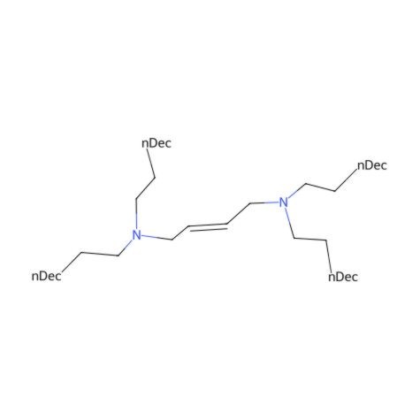 CCCCCCCCCCCCN(CC=CCN(CCCCCCCCCCCC)CCCCCCCCCCCC)CCCCCCCCCCCC